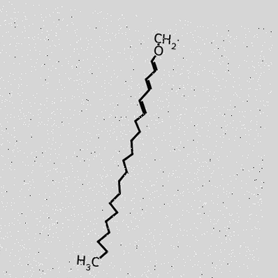 [CH2]OC=CC=CC=CCCCCCCCCCCCCCCC